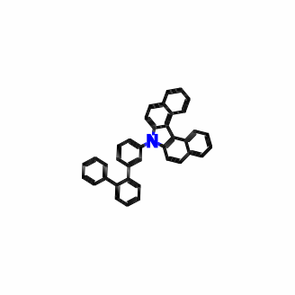 c1ccc(-c2ccccc2-c2cccc(-n3c4ccc5ccccc5c4c4c5ccccc5ccc43)c2)cc1